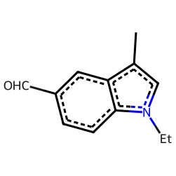 CCn1cc(C)c2cc(C=O)ccc21